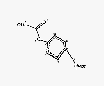 CCCCCCCCc1ccc(OC(=O)C=O)cc1